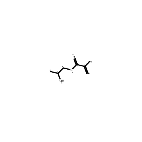 C=C(C)C(=O)SCC(C)O